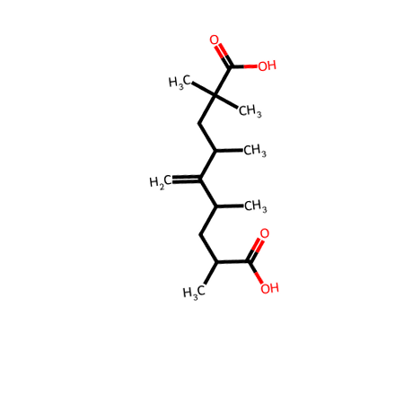 C=C(C(C)CC(C)C(=O)O)C(C)CC(C)(C)C(=O)O